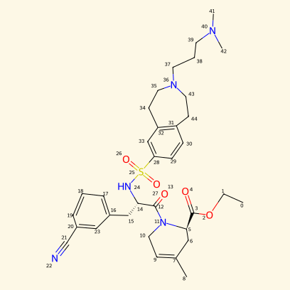 CCOC(=O)[C@H]1CC(C)=CCN1C(=O)[C@H](Cc1cccc(C#N)c1)NS(=O)(=O)c1ccc2c(c1)CCN(CCCN(C)C)CC2